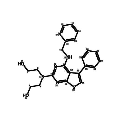 OCCN(CCO)c1nc(NCc2ccccn2)c2c(-c3ccccc3)csc2n1